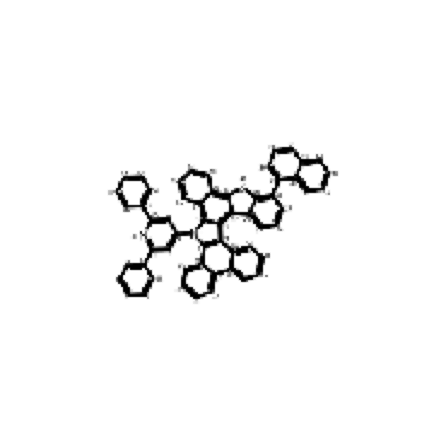 c1ccc(-c2cc(-n3c4c5ccccc5c5ccccc5c4c4c5c6cccc(-c7cccc8ccccc78)c6sc5c5ccccc5c43)cc(-c3ccccc3)n2)cc1